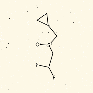 [O-][S+](C[C]1CC1)CC(F)F